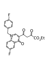 CCOC(=O)C(=O)CC(=O)c1cn(Cc2ccc(F)cc2)c2ccc(F)cc2c1=O